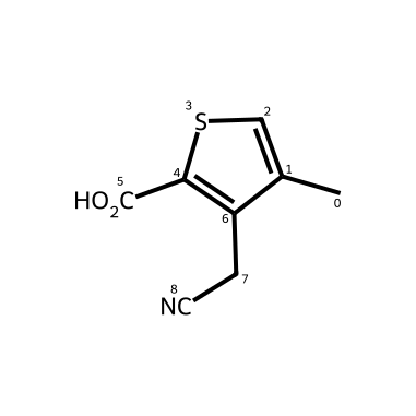 Cc1csc(C(=O)O)c1CC#N